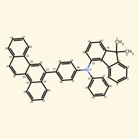 CC1(C)c2ccccc2-c2c(N(c3ccccc3)c3ccc(-c4cc5c6ccccc6ccc5c5ccccc45)cc3)cccc21